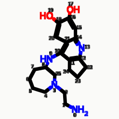 NCCN1CCCC[C@@H](Nc2c3c(nc4cc(O)c(O)cc24)CCC3)C1